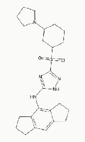 O=S(=O)(c1n[nH]c(Nc2c3c(cc4c2CCC4)CCC3)n1)C1CCCC(N2CCCC2)C1